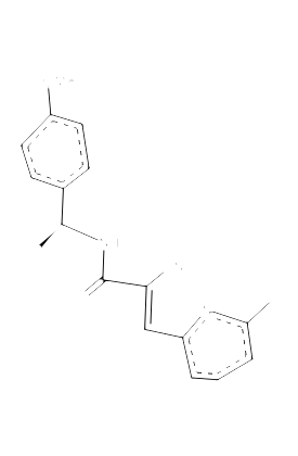 COc1ccc([C@H](C)NC(=O)/C(C#N)=C/c2cccc(Br)n2)cc1